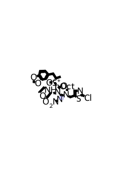 C1COCCN1.CCCCCCCC[S+]([O-])C(C)Cc1ccc2c(c1)OCO2.CN1COCN(Cc2cnc(Cl)s2)/C1=N/[N+](=O)[O-]